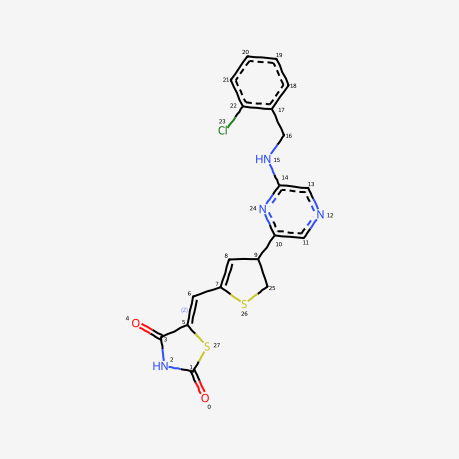 O=C1NC(=O)/C(=C/C2=CC(c3cncc(NCc4ccccc4Cl)n3)CS2)S1